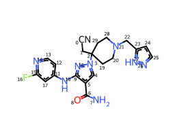 N#CCC1(n2cc(C(N)=O)c(Nc3ccnc(F)c3)n2)CCN(Cc2ccn[nH]2)CC1